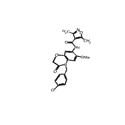 COc1cc2c(cc1NC(=O)c1c(C)noc1C)OCC(=O)N2Cc1ccc(Cl)cc1